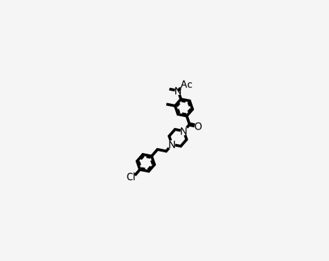 CC(=O)N(C)c1ccc(C(=O)N2CCN(CCc3ccc(Cl)cc3)CC2)cc1C